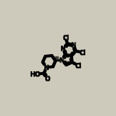 O=C(O)N1CCC[C@@H](n2cc(Cl)c3c(Cl)nc(Cl)nc32)C1